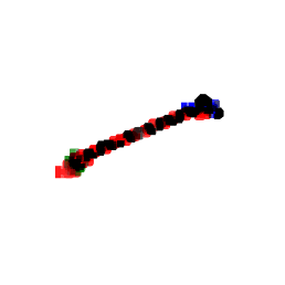 C=C/N=C(\NC)C(=O)N1CCC[C@@H]1C(=O)NCCOCCOCCOCCOCCOCCOCCOCCOCCOCCOCCC(=O)Oc1c(F)c(F)c(S(=O)(=O)O)c(F)c1F